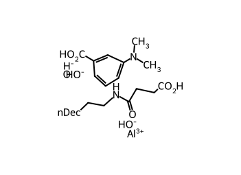 CCCCCCCCCCCCNC(=O)CCC(=O)O.CN(C)c1cccc(C(=O)O)c1.[Al+3].[OH-].[OH-].[OH-]